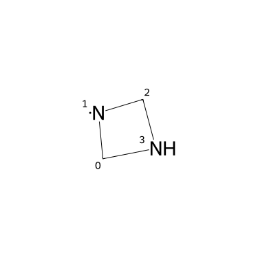 C1[N]CN1